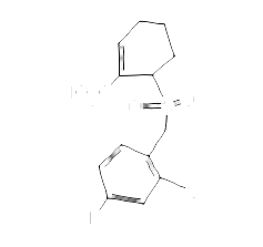 O=C(O)C1=CCCCC1S(=O)(=O)Cc1ccc(F)cc1Cl